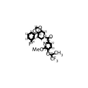 COc1nc(C(=O)N2CC[C@]3(c4cccc(F)c4)OCOC3C2)ccc1OC(C)C(F)(F)F